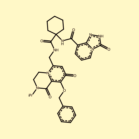 CC(C)N1CCn2c(CNC(=O)C3(NC(=O)c4cccn5c(=O)[nH]nc45)CCCCC3)cc(=O)c(OCc3ccccc3)c2C1=O